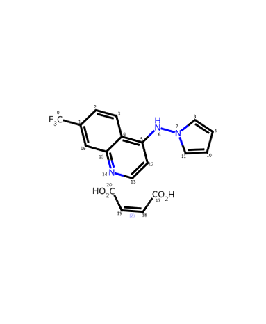 FC(F)(F)c1ccc2c(Nn3cccc3)ccnc2c1.O=C(O)/C=C\C(=O)O